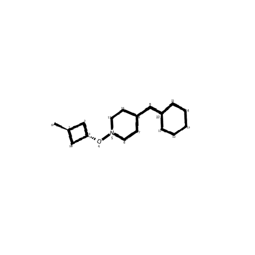 C[C@H]1C[C@H](ON2CCC(CC3CCCCC3)CC2)C1